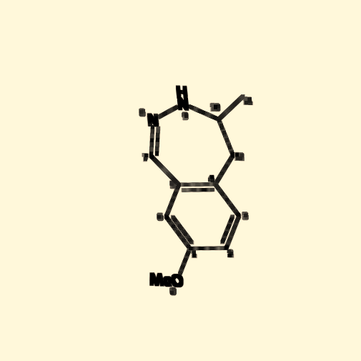 COc1ccc2c(c1)C=NNC(C)C2